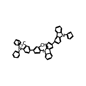 Cc1cc(-c2ccc(-n3c4ccccc4c4cc(-c5ccc6c(c5)c5ccccc5n6-c5ccccc5)ccc43)c(C)c2)ccc1N(c1ccccc1)c1ccccc1